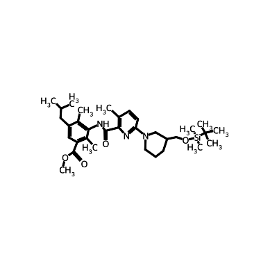 COC(=O)c1cc(CC(C)C)c(C)c(NC(=O)c2nc(N3CCCC(CO[Si](C)(C)C(C)(C)C)C3)ccc2C)c1C